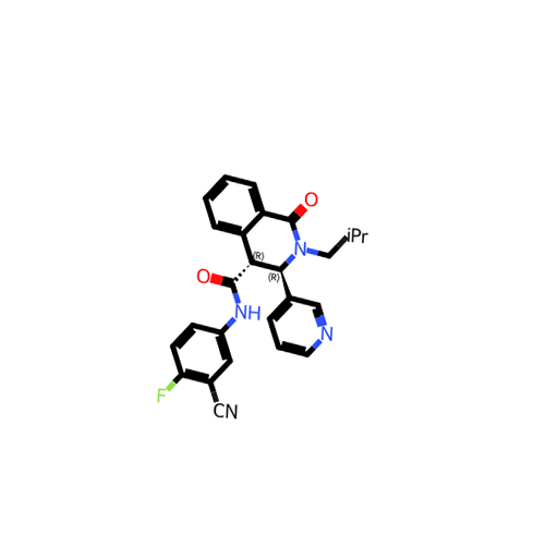 CC(C)CN1C(=O)c2ccccc2[C@@H](C(=O)Nc2ccc(F)c(C#N)c2)[C@@H]1c1cccnc1